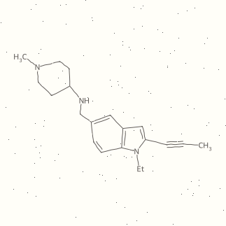 CC#Cc1cc2cc(CNC3CCN(C)CC3)ccc2n1CC